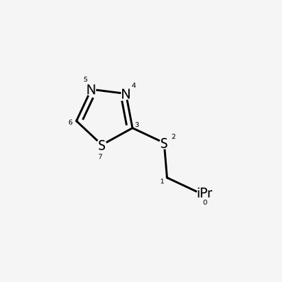 CC(C)CSc1nncs1